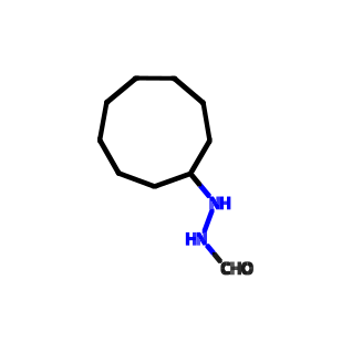 O=CNNC1CCCCCCCC1